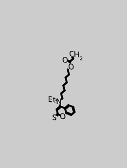 C=CC(=O)OCCCCCCCCN(CC)c1cc(=S)oc2ccccc12